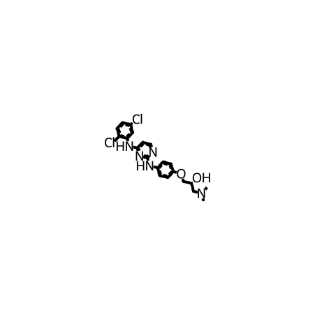 CN(C)C[C@@H](O)COc1ccc(Nc2nccc(Nc3cc(Cl)ccc3Cl)n2)cc1